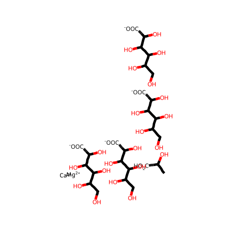 CC(O)C(=O)O.O=C([O-])C(O)C(O)C(O)C(O)CO.O=C([O-])C(O)C(O)C(O)C(O)CO.O=C([O-])C(O)C(O)C(O)C(O)CO.O=C([O-])C(O)C(O)C(O)C(O)CO.[Ca+2].[Mg+2]